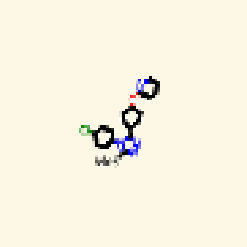 CSc1nnc(C2CCC(Oc3ccccn3)CC2)n1-c1ccc(Cl)cc1